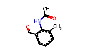 CC(=O)Nc1c(C)cccc1C=O